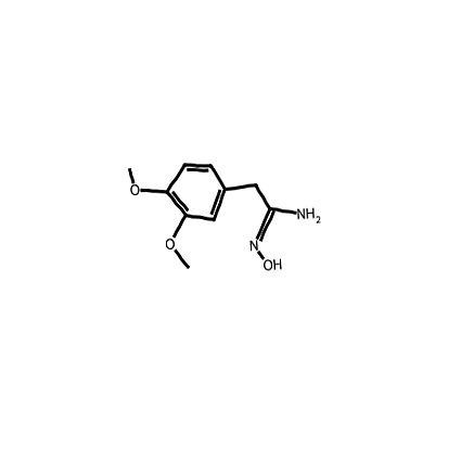 COc1ccc(CC(N)=NO)cc1OC